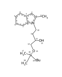 Cc1cc2ccccc2n1CCC(O)CO[Si](C)(C)C(C)(C)C